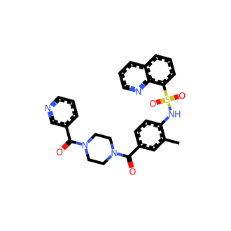 Cc1cc(C(=O)N2CCN(C(=O)c3cccnc3)CC2)ccc1NS(=O)(=O)c1cccc2cccnc12